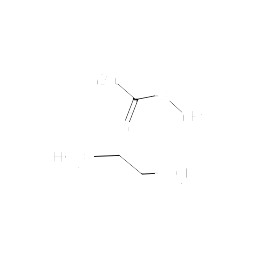 CCCCC(=O)OCCC.O=C(O)CCC(=O)O